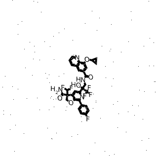 NC(=O)C1(C(F)F)COc2c1cc(C(O)(CNC(=O)c1cc(OC3CC3)c3ncccc3c1)C(F)(F)F)nc2-c1ccc(F)cc1